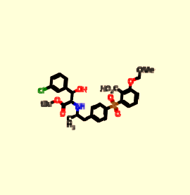 COCOc1cccc(S(=O)(=O)c2ccc(C[C@@H](C)NC(C(=O)OC(C)(C)C)[C@H](O)c3cccc(Cl)c3)cc2)c1C(=O)O